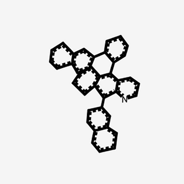 c1ccc(-c2c3ccccc3c(-c3ccc4ccccc4c3)c3ncccc23)c(-c2ccc3ccccc3c2)c1